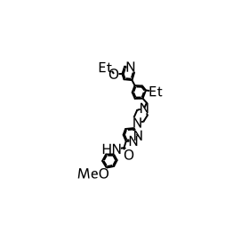 CCOc1cncc(-c2ccc(CN3CCN(c4ccc(C(=O)Nc5ccc(OC)cc5)nn4)CC3)c(CC)c2)c1